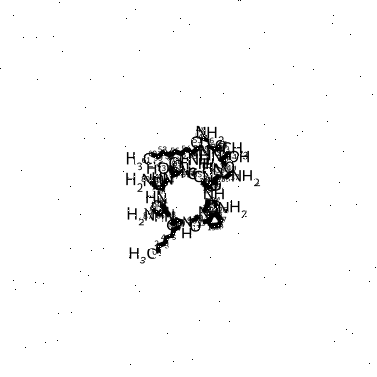 CCCCCCCC[C@@H]1NC(=O)[C@@H](Cc2ccccc2)NC(=O)[C@H](CCN)NC(=O)[C@@H](NC(=O)[C@H](CCN)NC(=O)[C@@H](NC(=O)[C@H](CCN)NC(=O)[C@@H](N)CCCCCCCC)[C@@H](C)O)CCNC(=O)[C@H]([C@@H](C)O)NC(=O)[C@H](CCN)NC(=O)[C@H](CCN)NC1=O